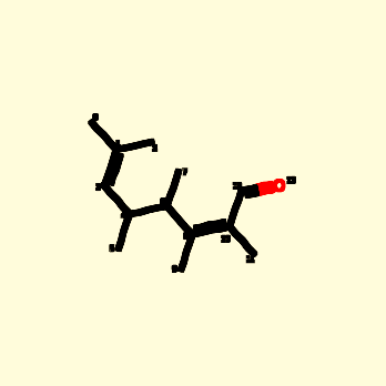 CC(C)=CC(C)C(C)C(C)=C(C)C=O